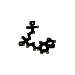 CC(C)(Cl)CCCC(C)(Cl)CCCc1ccc2c(c1)OCO2